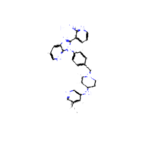 N#Cc1cncc(NC2CCN(Cc3ccc(-n4c(-c5cccnc5N)nc5cccnc54)cc3)CC2)c1